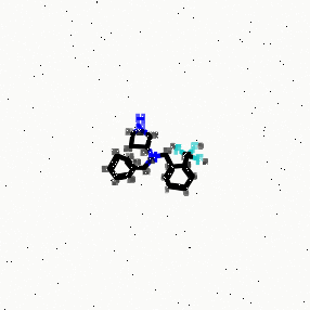 FC(F)(F)c1ccccc1CN(Cc1ccccc1)[C@H]1CCNC1